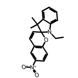 CCN1c2ccccc2C(C)(C)C12C=Cc1cc([N+](=O)[O-])ccc1O2